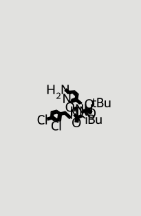 CC[C@H](C)[C@H](NC(=O)OC(C)(C)C)C(=O)N(CCc1ccc(Cl)c(Cl)c1)C(=O)NCc1ccc(N)nc1